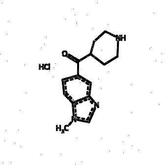 Cl.Cn1cnc2cc(C(=O)C3CCNCC3)ccc21